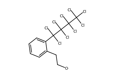 [O]CCc1ccccc1C(Cl)(Cl)C(Cl)(Cl)C(Cl)(Cl)C(Cl)(Cl)Cl